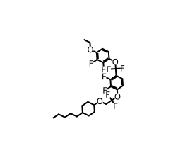 CCCCCC1CCC(OCC(F)(F)Oc2ccc(C(F)(F)Oc3ccc(OCC)c(F)c3F)c(F)c2F)CC1